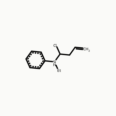 C=CCC(Cl)[SiH](CC)c1ccccc1